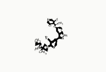 C=CCNC1(C)CN(c2ncc(-c3n[nH]c4ccc(O[C@H](C)c5c(Cl)cncc5Cl)cc34)cc2F)C1